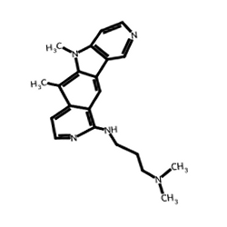 Cc1c2ccnc(NCCCN(C)C)c2cc2c3cnccc3n(C)c12